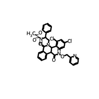 CS(=O)(=O)NC(CN1C(=O)c2ccccc2C(C(=O)NOCc2ccccn2)C1c1ccc(Cl)cc1Cl)c1ccccc1